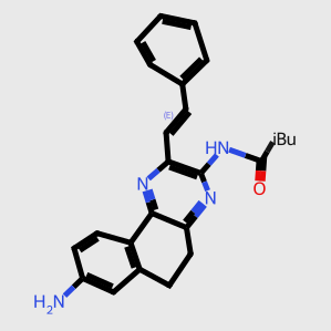 CCC(C)C(=O)Nc1nc2c(nc1/C=C/c1ccccc1)-c1ccc(N)cc1CC2